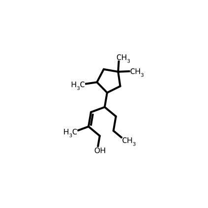 CCCC(C=C(C)CO)C1CC(C)(C)CC1C